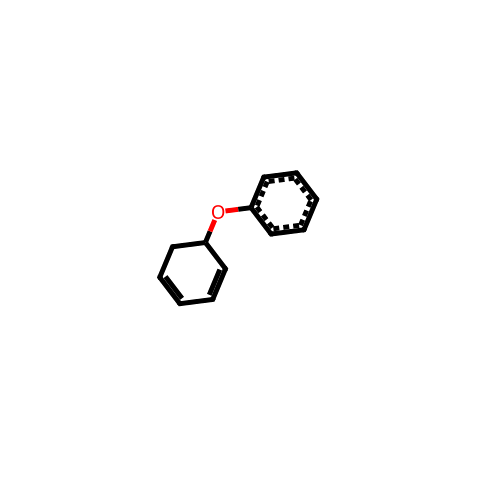 C1=CCC(Oc2ccccc2)C=C1